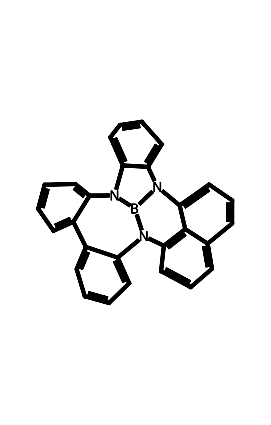 c1ccc2c(c1)-c1ccccc1N1B3N2c2ccccc2N3c2cccc3cccc1c23